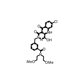 COCCN(CCOC)C(=O)c1cccc(Cn2nc(O)c3[nH]c4cc(Cl)ccc4c(=O)c3c2=O)c1